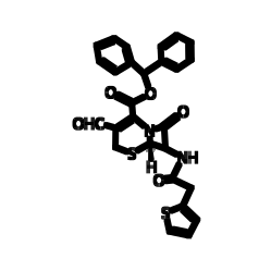 O=CC1=C(C(=O)OC(c2ccccc2)c2ccccc2)N2C(=O)C(NC(=O)Cc3cccs3)[C@@H]2SC1